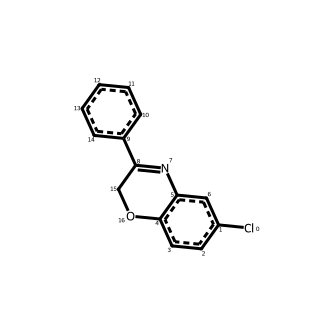 Clc1ccc2c(c1)N=C(c1ccccc1)CO2